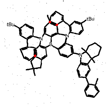 Cc1cc2c3c(c1)N(c1ccc(C(C)(C)C)cc1-c1ccccc1)c1cc4c(cc1B3c1ccc(N3c5ccc(-c6ccccc6C)cc5C5(C)CCCCC35C)cc1N2c1ccc(C(C)(C)C)cc1-c1ccccc1)CC(C)(C)C4